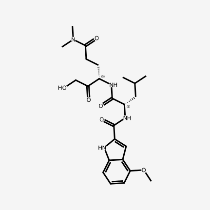 COc1cccc2[nH]c(C(=O)N[C@@H](CC(C)C)C(=O)N[C@@H](CCC(=O)N(C)C)C(=O)CO)cc12